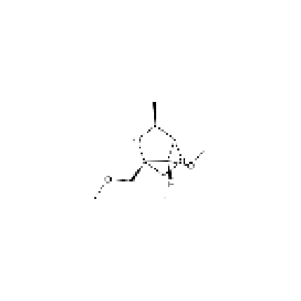 COC[C@]12O[C@@H](C)C(OC1C)[C@@H]2OC